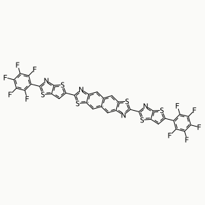 Fc1c(F)c(F)c(-c2cc3sc(-c4nc5cc6cc7sc(-c8cc9sc(-c%10c(F)c(F)c(F)c(F)c%10F)nc9s8)nc7cc6cc5s4)nc3s2)c(F)c1F